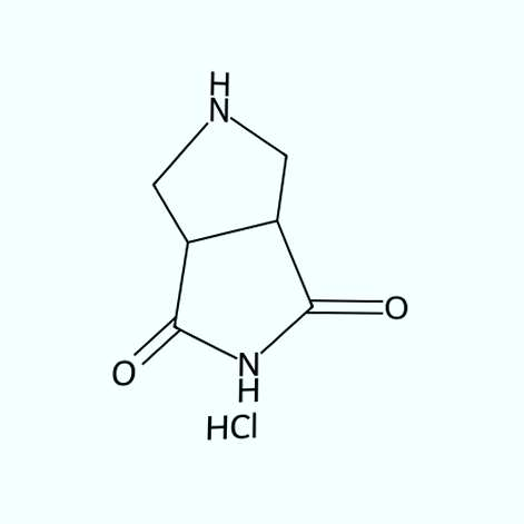 Cl.O=C1NC(=O)C2CNCC12